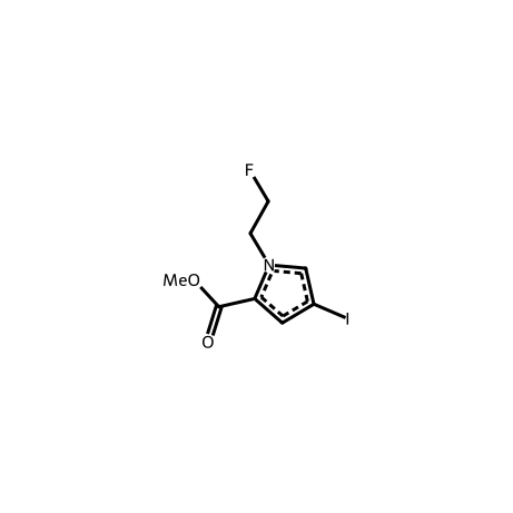 COC(=O)c1cc(I)cn1CCF